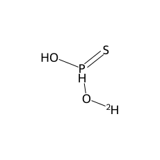 [2H]O[PH](O)=S